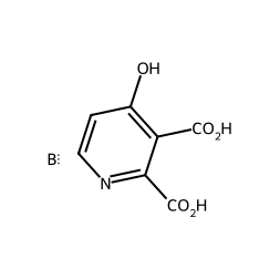 O=C(O)c1nccc(O)c1C(=O)O.[B]